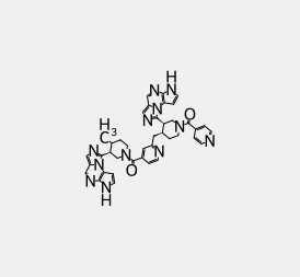 C[C@H]1CCN(C(=O)c2ccnc(C[C@@H]3CCN(C(=O)c4ccncc4)C[C@@H]3c3ncc4cnc5[nH]ccc5n34)c2)C[C@H]1c1ncc2cnc3[nH]ccc3n12